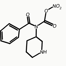 O=C(O[N+](=O)[O-])N(C(=O)c1ccccc1)C1CCCNC1